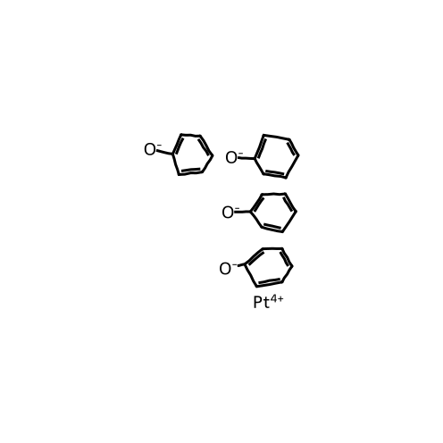 [O-]c1ccccc1.[O-]c1ccccc1.[O-]c1ccccc1.[O-]c1ccccc1.[Pt+4]